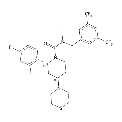 Cc1cc(F)ccc1[C@H]1C[C@H](N2CCSCC2)CCN1C(=O)N(C)Cc1cc(C(F)(F)F)cc(C(F)(F)F)c1